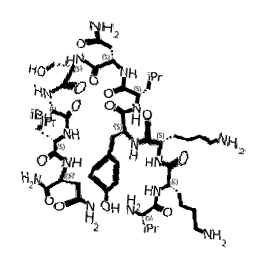 CC[C@H](C)[C@H](NC(=O)[C@H](CO)NC(=O)[C@H](CC(N)=O)NC(=O)[C@H](CC(C)C)NC(=O)[C@H](Cc1ccc(O)cc1)NC(=O)[C@H](CCCCN)NC(=O)[C@H](CCCCN)NC(=O)[C@@H](N)C(C)C)C(=O)N[C@@H](CC(C)C)C(=O)N[C@@H](CC(N)=O)C(N)=O